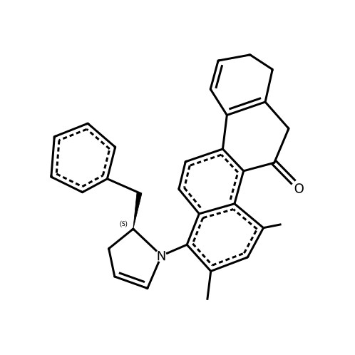 Cc1cc(C)c2c3c(ccc2c1N1C=CC[C@H]1Cc1ccccc1)C1=C(CCC=C1)CC3=O